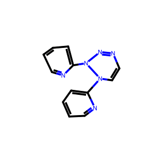 C1=CN(c2ccccn2)N(c2ccccn2)N=N1